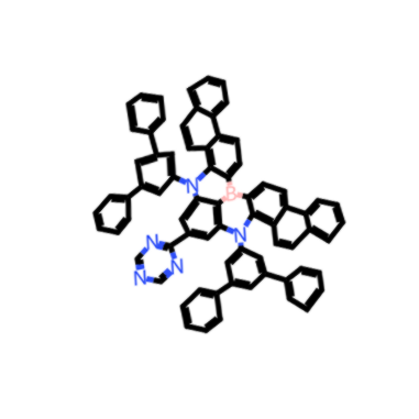 c1ccc(-c2cc(-c3ccccc3)cc(N3c4cc(-c5ncncn5)cc5c4B(c4ccc6c(ccc7ccccc76)c43)c3ccc4c(ccc6ccccc64)c3N5c3cc(-c4ccccc4)cc(-c4ccccc4)c3)c2)cc1